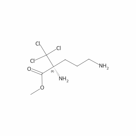 COC(=O)[C@](N)(CCCN)C(Cl)(Cl)Cl